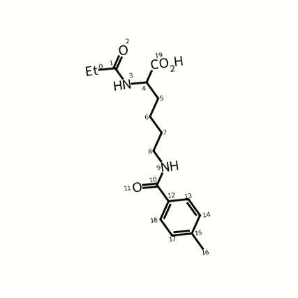 CCC(=O)NC(CCCCNC(=O)c1ccc(C)cc1)C(=O)O